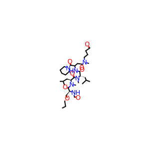 CCCOC[C@H](NC=O)C(=O)N(C)[C@@H](CC(C)C)C(=O)N(C)[C@@H](CC(C)C)C(=O)NC(CC(=O)N(C)CCCC=O)C(=O)N1CCCCC1